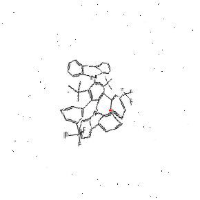 CC(C)(C)c1c(-c2cccc(C(F)(F)F)c2)c(-n2c3ccccc3c3ccccc32)c(-c2cccc(C(F)(F)F)c2)c(C(C)(C)C)c1-n1c2ccccc2c2ccccc21